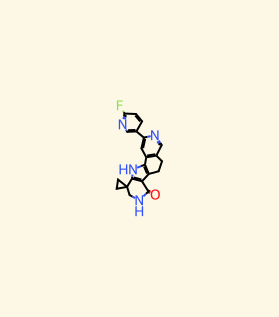 O=C1NCC2(CC2)c2[nH]c3c(c21)CCc1cnc(-c2ccc(F)nc2)cc1-3